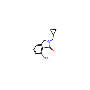 Nc1cccc2c1C(=O)N(CC1CC1)C2